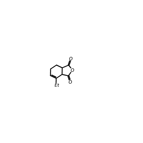 CCC1=CCCC2C(=O)OC(=O)C12